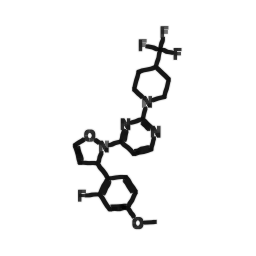 COc1ccc(C2C=CON2c2ccnc(N3CCC(C(F)(F)F)CC3)n2)c(F)c1